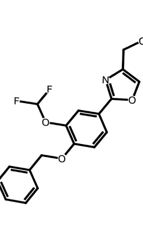 FC(F)Oc1cc(-c2nc(CCl)co2)ccc1OCc1ccccc1